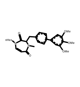 CCCCCCN1C=CC(=O)N(C)C(Cc2ccc(-c3cc(OC)c(OC)c(OC)c3)cc2)C1=O